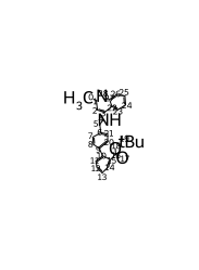 Cc1cc(NCc2ccc(-c3ccccc3C(=O)OC(C)(C)C)cc2)c2ccccc2n1